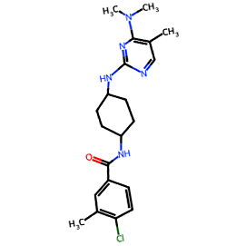 Cc1cc(C(=O)NC2CCC(Nc3ncc(C)c(N(C)C)n3)CC2)ccc1Cl